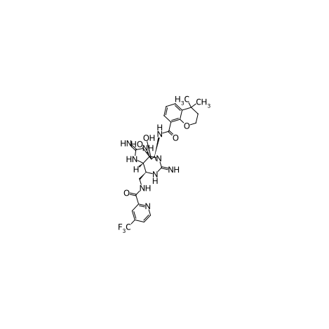 CC1(C)CCOc2c(C(=O)N[C@H]3CN4C(=N)N[C@@H](CNC(=O)c5cc(C(F)(F)F)ccn5)[C@@H]5NC(=N)N[C@@]54C3(O)O)cccc21